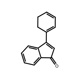 O=C1C=C(C2=CC=CCC2)c2ccccc21